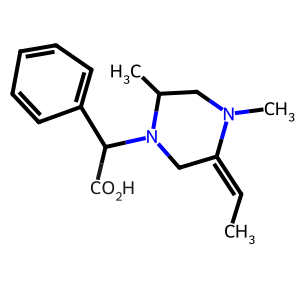 CC=C1CN(C(C(=O)O)c2ccccc2)C(C)CN1C